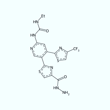 CCNC(=O)Nc1cc(-c2nc(C(F)(F)F)cs2)c(-c2nc(C(=O)NN)cs2)cn1